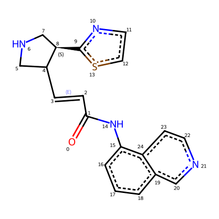 O=C(/C=C/C1CNC[C@H]1c1nccs1)Nc1cccc2cnccc12